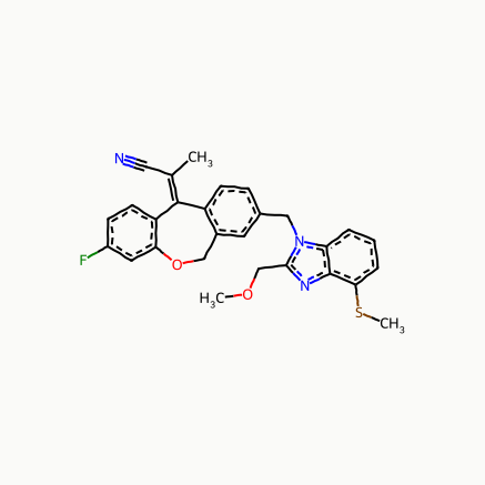 COCc1nc2c(SC)cccc2n1Cc1ccc2c(c1)COc1cc(F)ccc1C2=C(C)C#N